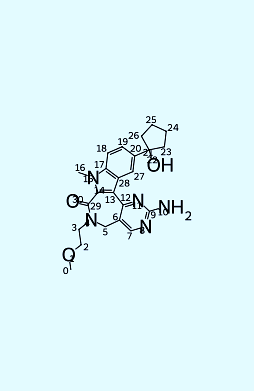 COCCN1Cc2cnc(N)nc2-c2c(n(C)c3ccc(C4(O)CCCC4)cc23)C1=O